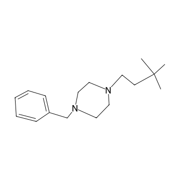 CC(C)(C)CCN1CCN(Cc2ccccc2)CC1